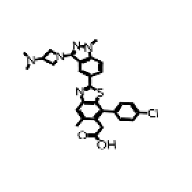 Cc1cc2nc(-c3ccc4c(c3)c(N3CC(N(C)C)C3)nn4C)sc2c(-c2ccc(Cl)cc2)c1CC(=O)O